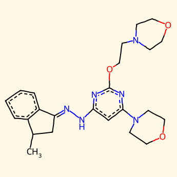 CC1CC(=NNc2cc(N3CCOCC3)nc(OCCN3CCOCC3)n2)c2ccccc21